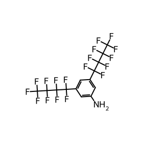 Nc1cc(C(F)(F)C(F)(F)C(F)(F)C(F)(F)F)cc(C(F)(F)C(F)(F)C(F)(F)C(F)(F)F)c1